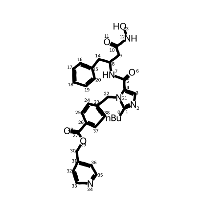 CCCCc1ncc(C(=O)NC(CC(=O)NO)Cc2ccccc2)n1Cc1ccc(C(=O)OCc2ccncc2)cc1